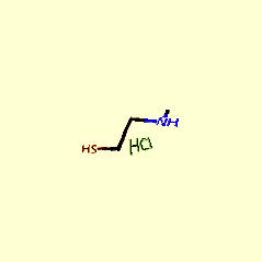 CNCCS.Cl